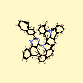 c1ccc2c(c1)-c1nc(-c3ccc4ccccc4c3)nc(-n3c4c5ccccc5ccc4c4cc5c6ccccc6n6c7ccccc7c(c43)c56)c1C1CC21